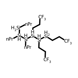 CCC[SiH2][SiH](CCC)[SiH](CCC)[SiH](CCC(F)(F)F)[SiH](CCC(F)(F)F)[SiH2]CCC(F)(F)F